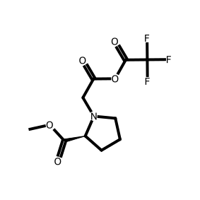 COC(=O)[C@@H]1CCCN1CC(=O)OC(=O)C(F)(F)F